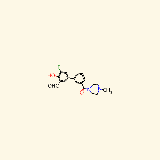 CN1CCN(C(=O)c2cccc(-c3cc(F)c(O)c(C=O)c3)c2)CC1